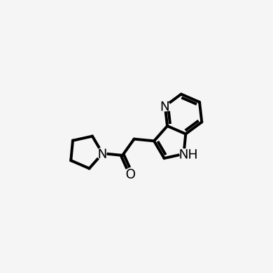 O=C(Cc1c[nH]c2cccnc12)N1CCCC1